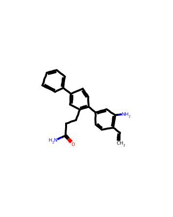 C=Cc1ccc(-c2ccc(-c3ccccc3)cc2CCC(N)=O)cc1N